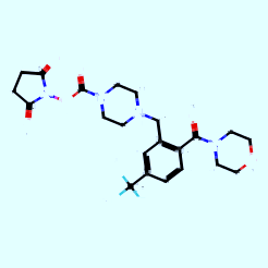 O=C(ON1C(=O)CCC1=O)N1CCN(Cc2cc(C(F)(F)F)ccc2C(=O)N2CCOCC2)CC1